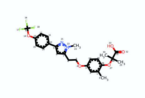 Cc1cc(OCCc2cc(-c3ccc(OC(F)(F)F)cc3)nn2C)ccc1OC(C)(C)C(=O)O